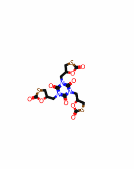 O=C1OC(Cn2c(=O)n(CC3CSC(=O)O3)c(=O)n(CC3CSC(=O)O3)c2=O)CS1